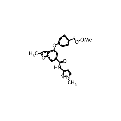 COOSc1ccc(Oc2cc(C(=O)Nc3ccn(C)n3)cc3oc(C)cc23)cc1